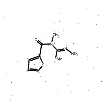 CS/C(=N\[N+](=O)[O-])N(C)C(=O)c1cccs1